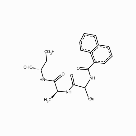 C[C@H](NC(=O)C(NC(=O)c1cccc2ccccc12)C(C)(C)C)C(=O)N[C@H](C=O)CC(=O)O